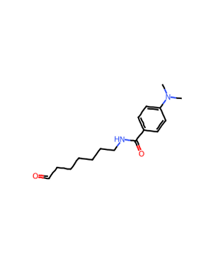 CN(C)c1ccc(C(=O)NCCCCCCC=O)cc1